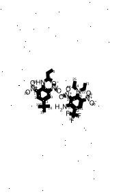 CCC(C)Nc1c([N+](=O)[O-])cc(C(C)(C)C)cc1[N+](=O)[O-].CCN(CC)c1c([N+](=O)[O-])cc(C(F)(F)F)c(N)c1[N+](=O)[O-]